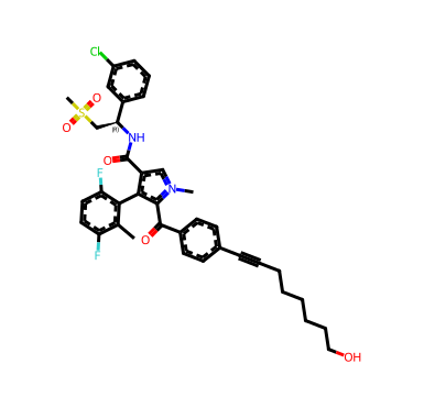 Cc1c(F)ccc(F)c1-c1c(C(=O)N[C@@H](CS(C)(=O)=O)c2cccc(Cl)c2)cn(C)c1C(=O)c1ccc(C#CCCCCCCO)cc1